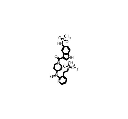 CCN(c1ncccc1CC[Si](C)(C)C)C1CCN(C(=O)c2c[nH]c3ccc(NS(C)(=O)=O)cc23)CC1